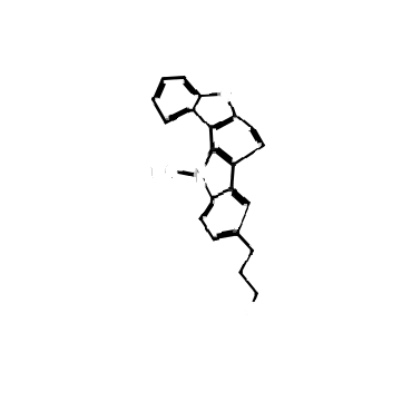 CCCCc1ccc2c(c1)c1ccc3oc4ccccc4c3c1n2C